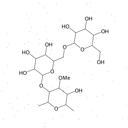 COC1C(O)C(C)OC(C)C1OC1OC(COC2OC(CO)C(O)C(O)C2O)C(O)C(O)C1O